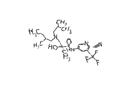 CCC(C)CN(CC(C)C)C[C@](C)(O)C(=O)Nc1cnc(C#N)c(C(F)(F)F)c1